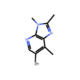 Cc1c(C(C)C)cnc2c1nc(C)n2C